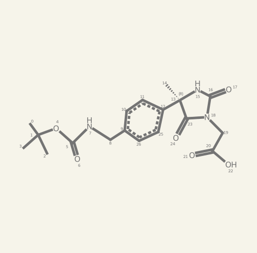 CC(C)(C)OC(=O)NCc1ccc([C@@]2(C)NC(=O)N(CC(=O)O)C2=O)cc1